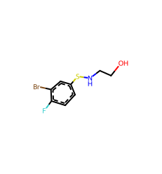 OCCNSc1ccc(F)c(Br)c1